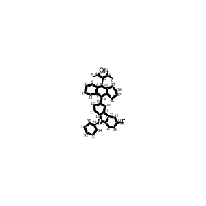 Cc1noc(C)c1-c1c2ccccc2c(-c2ccc3c(c2)c2cc(F)ccc2n3-c2ccccc2)c2ccccc12